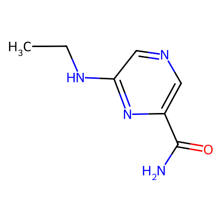 CCNc1cncc(C(N)=O)n1